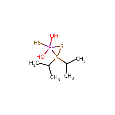 CC(C)S1(C(C)C)SP1(O)(O)S